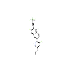 CCCc1cnc(-c2ccc3c(F)c(C#CC(F)(F)F)c(F)cc3c2)c(F)c1